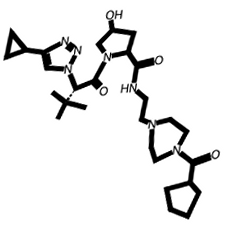 CC(C)(C)[C@@H](C(=O)N1CC(O)CC1C(=O)NCCN1CCN(C(=O)C2CCCC2)CC1)n1cc(C2CC2)nn1